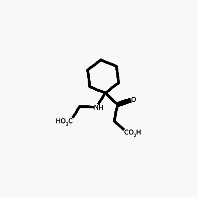 O=C(O)CNC1(C(=O)CC(=O)O)CCCCC1